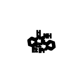 CCc1cccc(NC(=N)N(CC)c2ccccc2C(C)C)c1